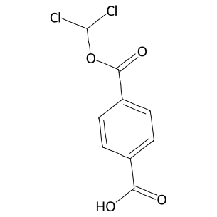 O=C(O)c1ccc(C(=O)OC(Cl)Cl)cc1